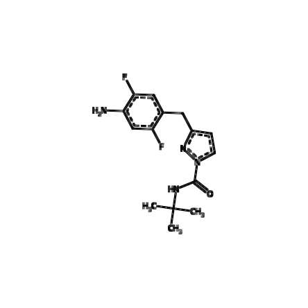 CC(C)(C)NC(=O)n1ccc(Cc2cc(F)c(N)cc2F)n1